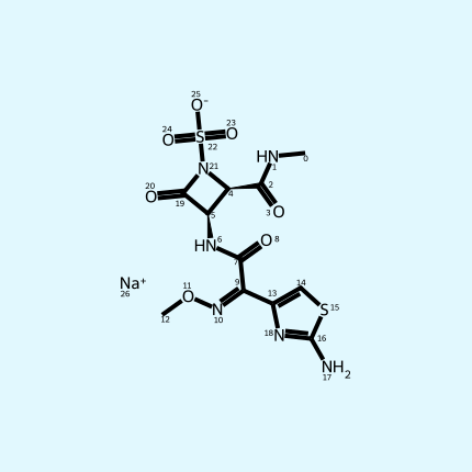 CNC(=O)[C@H]1[C@@H](NC(=O)/C(=N\OC)c2csc(N)n2)C(=O)N1S(=O)(=O)[O-].[Na+]